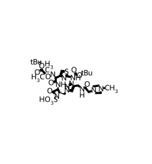 CN1CCN(CC(=O)NCc2cn(C[C@@H]3[C@H](NC(=O)/C(=N\OC(C)(C)C(=O)OC(C)(C)C)c4csc(NC(=O)OC(C)(C)C)n4)C(=O)N3S(=O)(=O)O)nn2)CC1